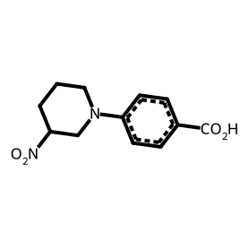 O=C(O)c1ccc(N2CCCC([N+](=O)[O-])C2)cc1